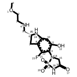 COCCNC[C@H]1Cc2c(cc(O)c(N3CC(=O)NS3(=O)=O)c2F)N1